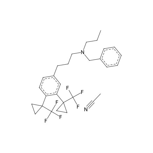 CC#N.CCCN(CCCc1ccc(C2(C(F)(F)F)CC2)c(C2(C(F)(F)F)CC2)c1)Cc1ccccc1